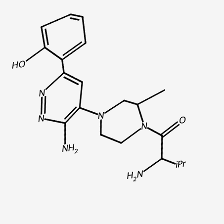 CC(C)C(N)C(=O)N1CCN(c2cc(-c3ccccc3O)nnc2N)CC1C